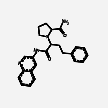 NC(=O)C1CCCN1C(CCc1ccccc1)C(=O)Nc1cnc2ccccc2c1